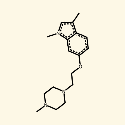 Cc1cn(C)c2cc(OCCN3CCN(C)CC3)ccc12